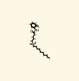 CCCCCCCCCC[Si](C)(C)CCCCC(=O)Nc1ccccc1C